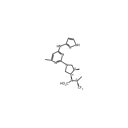 Cc1cc(Nc2cc[nH]n2)nc(N2C[C@@H](C)[C@@H](N(C(=O)O)[C@@H](C)C(F)(F)F)C2)n1